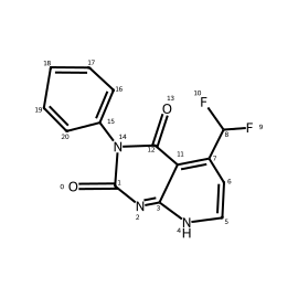 O=c1nc2[nH]ccc(C(F)F)c-2c(=O)n1-c1ccccc1